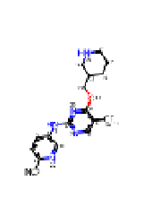 N#Cc1ccc(Nc2ncc(C(F)(F)F)c(OCC3CCCNC3)n2)cn1